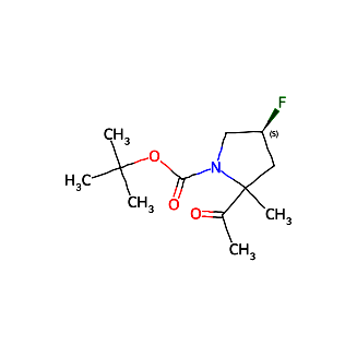 CC(=O)C1(C)C[C@H](F)CN1C(=O)OC(C)(C)C